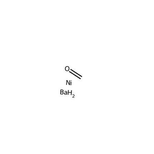 C=O.[BaH2].[Ni]